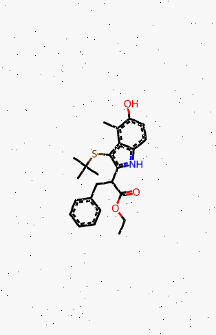 CCOC(=O)C(Cc1ccccc1)c1[nH]c2ccc(O)c(C)c2c1SC(C)(C)C